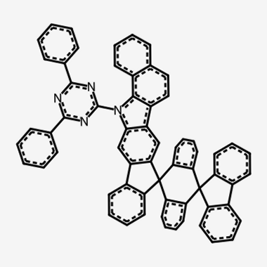 c1ccc(-c2nc(-c3ccccc3)nc(-n3c4cc5c(cc4c4ccc6ccccc6c43)C3(c4ccccc4-5)c4ccccc4C4(c5ccccc5-c5ccccc54)c4ccccc43)n2)cc1